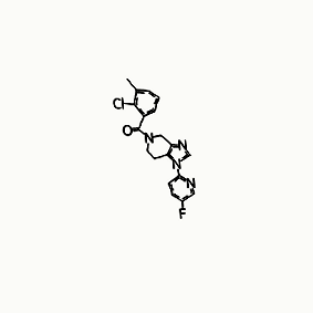 Cc1cccc(C(=O)N2CCc3c(ncn3-c3ccc(F)cn3)C2)c1Cl